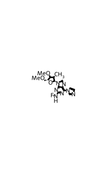 COC[C@H]1O[C@@H](n2cnc3c(-n4ccnc4)nc(NF)nc32)C(C)C1OC